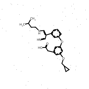 CC(C)CCN/C=C(\C=N)c1cccc(Oc2cc(CC(=O)O)cc(OCC3CC3)c2)c1